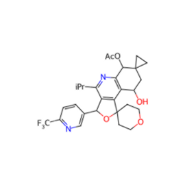 CC(=O)OC1c2nc(C(C)C)c3c(c2C(O)CC12CC2)C1(CCOCC1)OC3c1ccc(C(F)(F)F)nc1